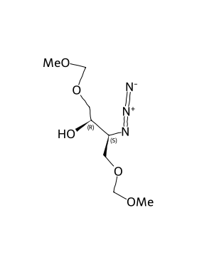 COCOC[C@H](N=[N+]=[N-])[C@@H](O)COCOC